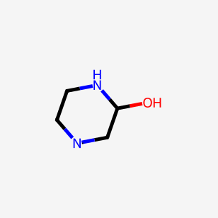 OC1C[N]CCN1